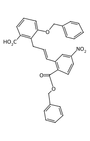 O=C(OCc1ccccc1)c1ccc([N+](=O)[O-])cc1C=CCc1c(OCc2ccccc2)cccc1C(=O)O